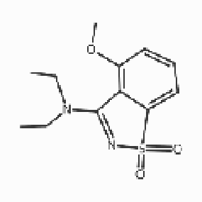 CCN(CC)C1=NS(=O)(=O)c2cccc(OC)c21